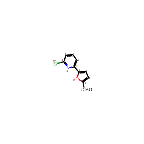 O=Cc1ccc(-c2cccc(Cl)n2)o1